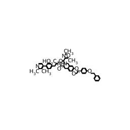 Cc1nc(C(=O)N2Cc3cc4c(cc3C[C@H]2C(=O)N[C@@H](Cc2ccc(-c3ccnc(C)c3C)cc2)C(=O)O)OC[C@H](c2ccc(OCCc3ccccc3)cc2)O4)c(C)o1